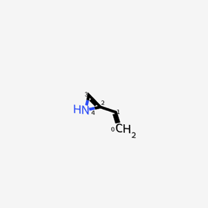 C=CC1=CN1